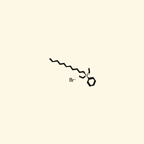 CCCCCCCCCCC[N+](CC)(CC)c1ccccc1.[Br-]